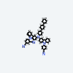 N#Cc1ccc(-n2c3ccccc3c3cc(N(c4ccc(-c5ccc(-c6ccccc6)cc5)cc4)c4ccc5c(c4)c4ccccc4n5-c4ccc(C#N)cc4C#N)ccc32)cc1